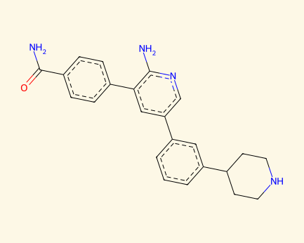 NC(=O)c1ccc(-c2cc(-c3cccc(C4CCNCC4)c3)cnc2N)cc1